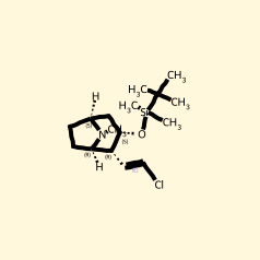 CN1[C@H]2CC[C@@H]1[C@@H](/C=C/Cl)[C@@H](O[Si](C)(C)C(C)(C)C)C2